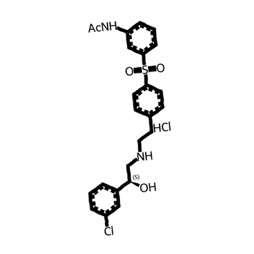 CC(=O)Nc1cccc(S(=O)(=O)c2ccc(CCNC[C@@H](O)c3cccc(Cl)c3)cc2)c1.Cl